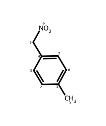 Cc1ccc([CH][N+](=O)[O-])cc1